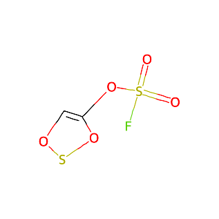 O=S(=O)(F)OC1=COSO1